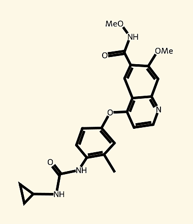 CONC(=O)c1cc2c(Oc3ccc(NC(=O)NC4CC4)c(C)c3)ccnc2cc1OC